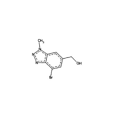 Cn1nnc2c(Br)cc(CO)cc21